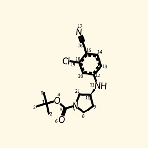 CC(C)(C)OC(=O)N1CC[C@H](Nc2ccc(C#N)c(Cl)c2)C1